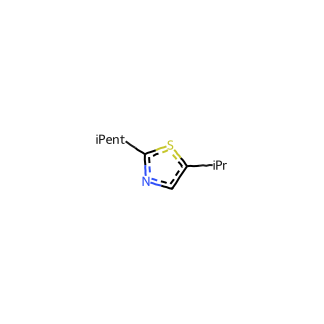 CCCC(C)c1ncc(C(C)C)s1